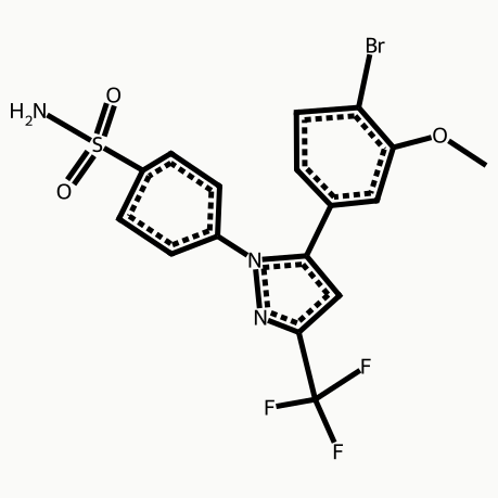 COc1cc(-c2cc(C(F)(F)F)nn2-c2ccc(S(N)(=O)=O)cc2)ccc1Br